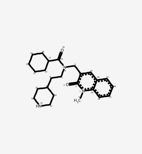 Cn1c(=O)c(CN(CCC2CCNCC2)C(=O)C2CCCCC2)cc2ccccc21